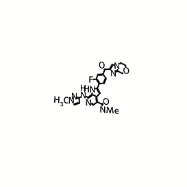 CNC(=O)c1cnc(Nc2ccn(C)n2)c2[nH]c(-c3ccc(C(=O)c4cn5c(n4)COCC5)cc3F)cc12